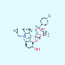 CC[C@]1(OC)[C@@H]2Oc3c(O)ccc4c3[C@@]23CCN(CC2CC2)[C@H](C4)[C@@]3(C)CC12C[C@@]2(O)c1ccc(Cl)cc1